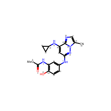 COC(=O)Nc1cc(Nc2cc(NC3CC3)c3ncc(C#N)n3n2)ccc1O